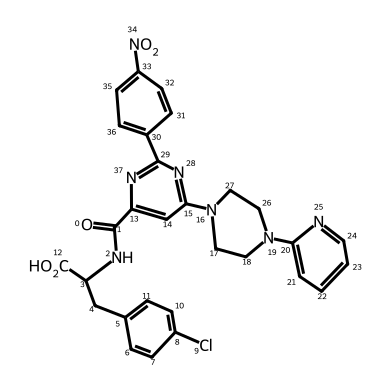 O=C(NC(Cc1ccc(Cl)cc1)C(=O)O)c1cc(N2CCN(c3ccccn3)CC2)nc(-c2ccc([N+](=O)[O-])cc2)n1